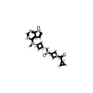 CN(c1ncnc2[nH]ccc12)[C@H]1C[C@@H](C[S+]([O-])C2CN(C(=O)C3CC3)C2)C1